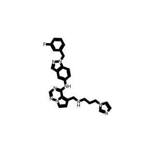 Fc1cccc(Cn2ncc3cc(Nc4ncnn5ccc(CNCCCn6ccnc6)c45)ccc32)c1